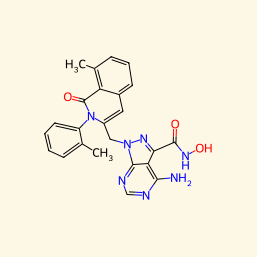 Cc1ccccc1-n1c(Cn2nc(C(=O)NO)c3c(N)ncnc32)cc2cccc(C)c2c1=O